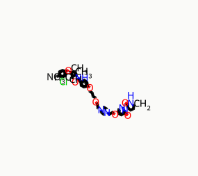 C=C1CCC(n2ncc(OCCN3CCN(CCOCCCCOc4ccc(C(=O)N[C@H]5C(C)(C)[C@H](Oc6ccc(C#N)c(Cl)c6)C5(C)C)cc4)CC3)cc2=O)C(=O)N1